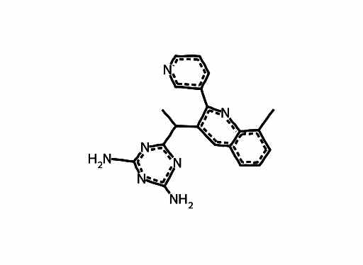 Cc1cccc2cc(C(C)c3nc(N)nc(N)n3)c(-c3cccnc3)nc12